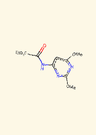 CCOC(=O)C(=O)Nc1cc(OC)nc(OC)n1